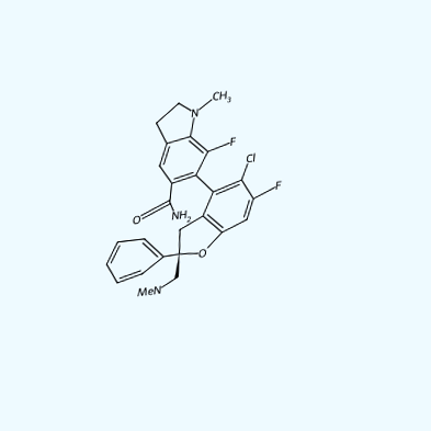 CNC[C@@]1(c2ccccc2)Cc2c(cc(F)c(Cl)c2-c2c(C(N)=O)cc3c(c2F)N(C)CC3)O1